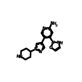 Nc1cc(N2NC=CO2)c(-c2cnn(C3CCNCC3)c2)cn1